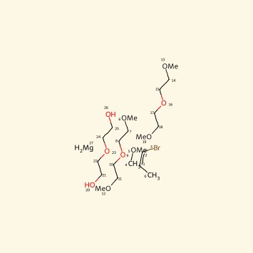 C/C=C\Br.COC.COCCOCCOC.COCCOCCOC.OCCOCCO.[MgH2]